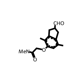 CNC(=O)COc1cc(C)c2c(c1C)CC(C=O)C2